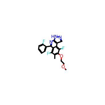 COCCOc1c(C)c(F)c2c(-c3ccccc3F)nc3[nH]ncc3c2c1F